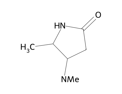 CNC1CC(=O)NC1C